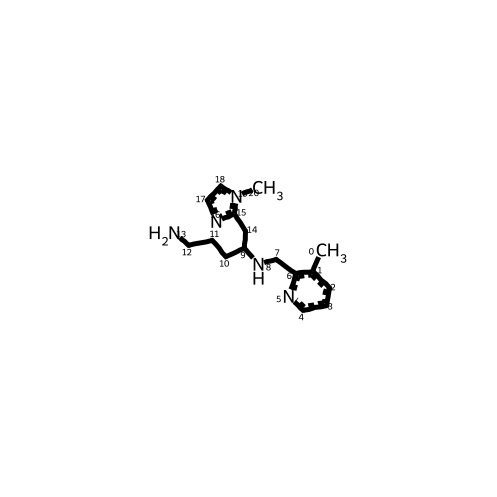 Cc1cccnc1CNC(CCCN)Cc1nccn1C